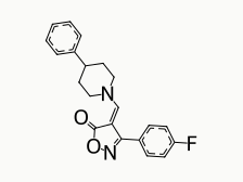 O=C1ON=C(c2ccc(F)cc2)C1=CN1CCC(c2ccccc2)CC1